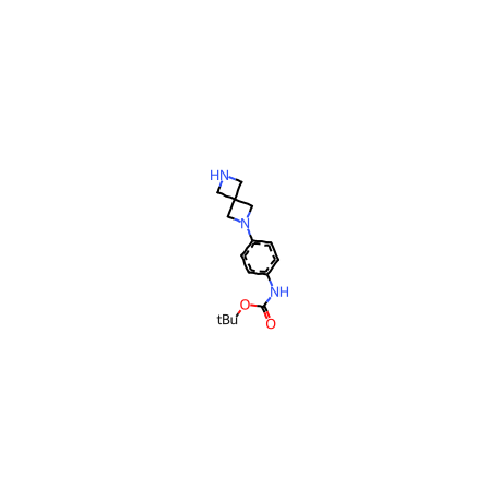 CC(C)(C)OC(=O)Nc1ccc(N2CC3(CNC3)C2)cc1